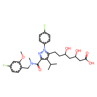 COc1cc(F)ccc1CN(C)C(=O)c1nn(-c2ccc(F)cc2)c(CCC(O)CC(O)CC(=O)O)c1C(C)C